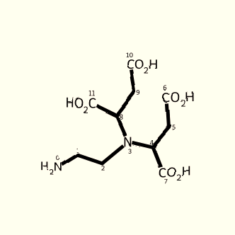 NCCN(C(CC(=O)O)C(=O)O)C(CC(=O)O)C(=O)O